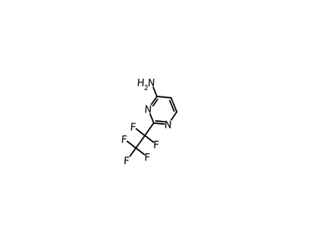 Nc1ccnc(C(F)(F)C(F)(F)F)n1